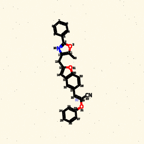 Cc1oc(-c2ccccc2)nc1Cc1cc2cc(/C=C(\C#N)Oc3ccccc3)ccc2o1